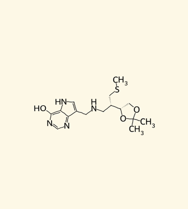 CSC[C@@H](CNCc1c[nH]c2c(O)ncnc12)[C@@H]1COC(C)(C)O1